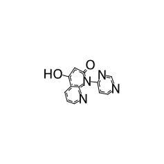 O=c1cc(O)c2cccnc2n1-c1ccncn1